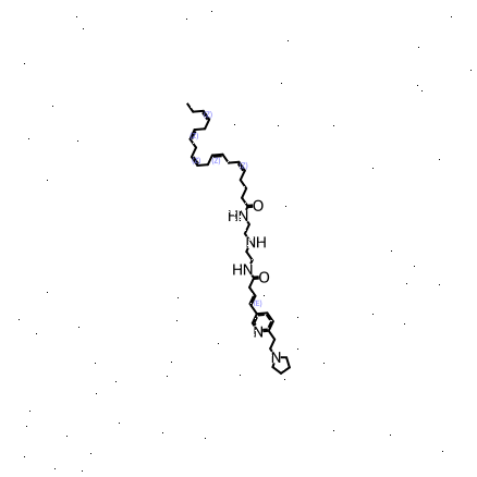 CC/C=C\C/C=C\C/C=C\C/C=C\C/C=C\CCCC(=O)NCCNCCNC(=O)C/C=C/c1ccc(CCN2CCCC2)nc1